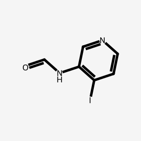 O=CNc1cnccc1I